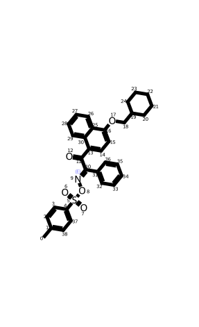 Cc1ccc(S(=O)(=O)O/N=C(/C(=O)c2ccc(OCC3CCCCC3)c3ccccc23)c2ccccc2)cc1